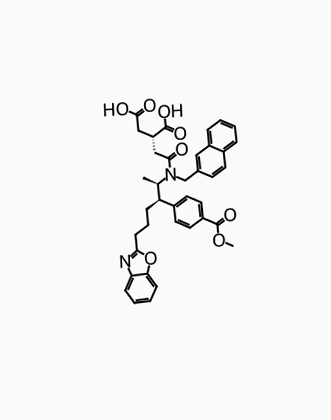 COC(=O)c1ccc([C@@H](CCCc2nc3ccccc3o2)[C@@H](C)N(Cc2ccc3ccccc3c2)C(=O)C[C@H](CC(=O)O)C(=O)O)cc1